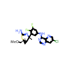 COC[C@]12C=C1[C@@](C)(c1cc(Nc3ncnc4cc(Cl)cnc34)cc(F)c1F)N=C(N)S2